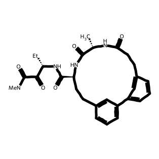 CC[C@H](NC(=O)[C@@H]1CCc2cccc(c2)-c2cccc(c2)CCC(=O)N[C@@H](C)C(=O)N1)C(=O)C(=O)NC